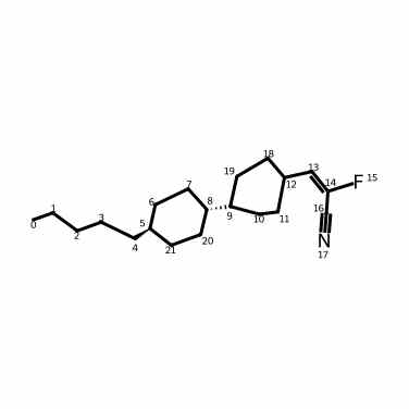 CCCCC[C@H]1CC[C@H](C2CCC(/C=C(/F)C#N)CC2)CC1